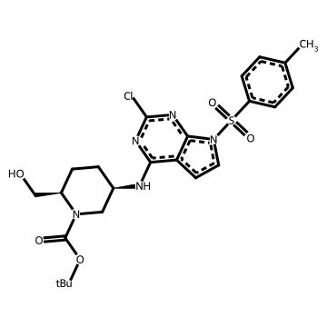 Cc1ccc(S(=O)(=O)n2ccc3c(N[C@@H]4CC[C@H](CO)N(C(=O)OC(C)(C)C)C4)nc(Cl)nc32)cc1